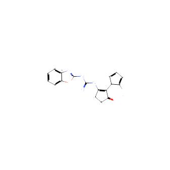 N=C(NC1=C(C2C=CC=C2Cl)C(=O)CC1)Nc1nc2ccccc2o1